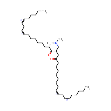 CCCCC/C=C\C/C=C\CCCCCCCC(=O)CC(CN(C)C)C(=O)CCCCCCC/C=C\C/C=C\CCCCC